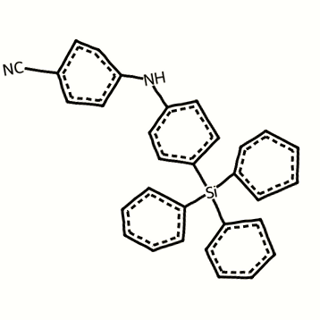 N#Cc1ccc(Nc2ccc([Si](c3ccccc3)(c3ccccc3)c3ccccc3)cc2)cc1